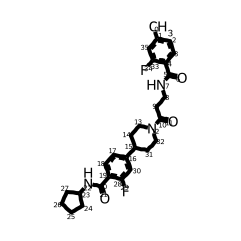 Cc1ccc(C(=O)NCCC(=O)N2CCC(c3ccc(C(=O)NC4CCCC4)c(F)c3)CC2)c(F)c1